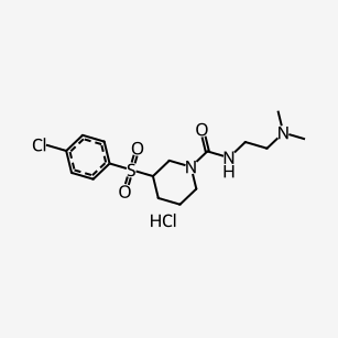 CN(C)CCNC(=O)N1CCCC(S(=O)(=O)c2ccc(Cl)cc2)C1.Cl